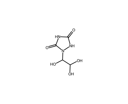 O=c1[nH]c(=O)n(C(O)C(O)O)[nH]1